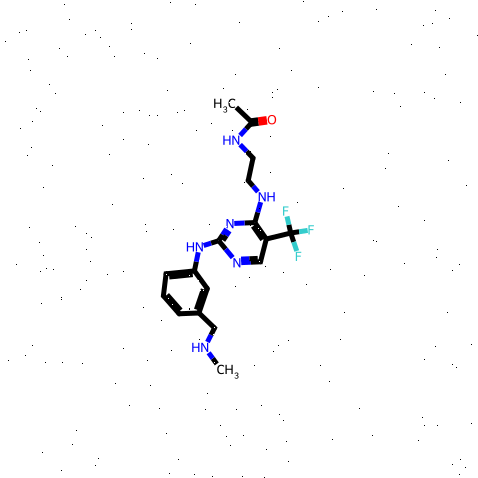 CNCc1cccc(Nc2ncc(C(F)(F)F)c(NCCNC(C)=O)n2)c1